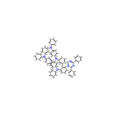 c1ccc(-c2nc(-c3ccccc3)nc(-c3ccc4c(c3)c3c(ccc5c6ccccc6n(-c6ccccc6)c53)n4-c3ccc4c(c3)c3c(ccc5c6ccccc6n(-c6ccccc6)c53)n4-c3ccccc3)n2)cc1